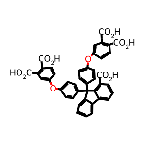 O=C(O)c1ccc(Oc2ccc(C3(c4ccc(Oc5ccc(C(=O)O)c(C(=O)O)c5)cc4)c4ccccc4-c4cccc(C(=O)O)c43)cc2)cc1C(=O)O